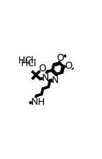 CNCCCCc1nc2cc(OC)c(OC)cc2c(=O)n1CC(C)(C)C.Cl.Cl